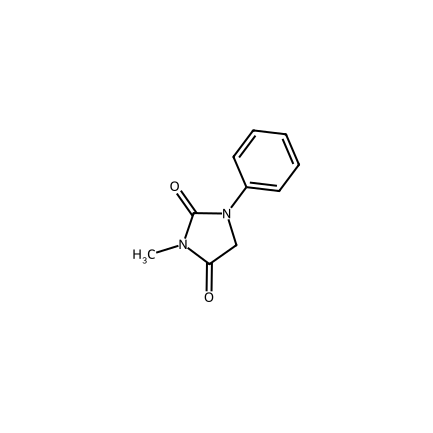 CN1C(=O)CN(c2ccccc2)C1=O